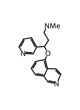 CNCCC(Oc1cccc2cnccc12)c1cccnc1